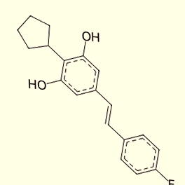 Oc1cc(C=Cc2ccc(F)cc2)cc(O)c1C1CCCC1